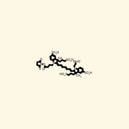 COCC[N+]1=C(/C=C/C=C/C=C/C=C2/N(CCCC(=O)ON3C(=O)CCC3=O)c3ccc(S(=O)(=O)O)cc3C2(C)CCCS(=O)(=O)O)C(C)(CCCS(=O)(=O)O)c2cc(S(=O)(=O)O)ccc21